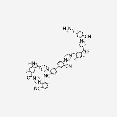 Cc1cc(C)c(C(=O)N2CCN(c3cc(CCN)ccc3C#N)CC2)cc1CN1CCN(c2ccc(-c3ccc(C#N)c(N4CCN(c5c[nH]c6cc(C)c(C(=O)N7CCN(c8ccccc8C#N)CC7)cc56)CC4)c3)cc2C#N)CC1